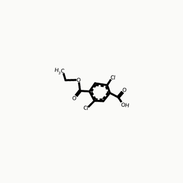 CCOC(=O)c1cc(Cl)c(C(=O)O)cc1Cl